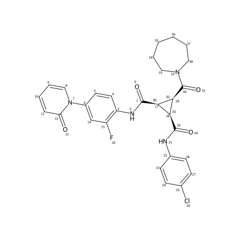 O=C(Nc1ccc(-n2ccccc2=O)cc1F)[C@@H]1[C@H](C(=O)Nc2ccc(Cl)cc2)[C@@H]1C(=O)N1CCCCCC1